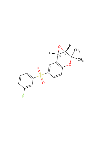 CC1(C)Oc2ccc(S(=O)(=O)c3cccc(F)c3)cc2[C@@H]2O[C@@H]21